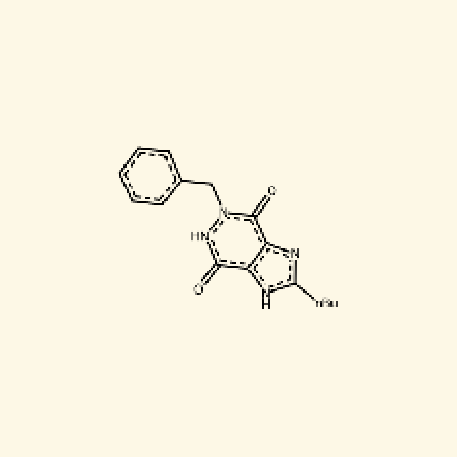 CCCCc1nc2c(=O)n(Cc3ccccc3)[nH]c(=O)c2[nH]1